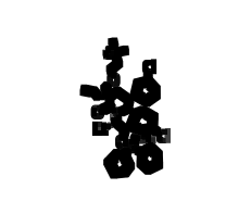 C=CC[C@]1(COCC[Si](C)(C)C)C[C@H](c2cccc(Cl)c2)[C@@H](c2ccc(Cl)cc2)N([C@@H](CC)CO[Si](c2ccccc2)(c2ccccc2)C(C)(C)C)C1=O